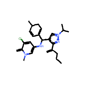 C=C(CCC)c1nn(C(C)C)cc1C(NC1=CN(C)C(=C)C(Cl)=C1)C1=CCC(C)C=C1